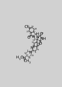 CN(C)C1CCN(c2ccc3oc(C4(CN5Cc6ccc(Cl)cc6C5=O)NC(=O)NC4=O)cc3n2)CC1